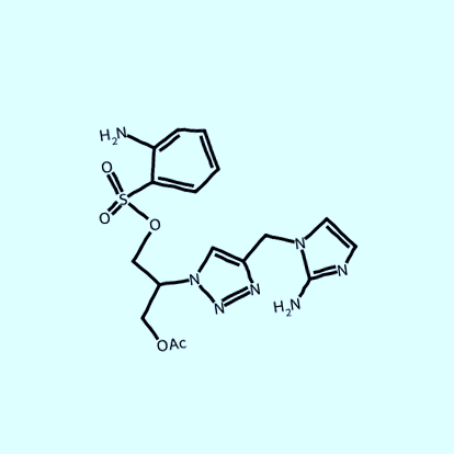 CC(=O)OCC(COS(=O)(=O)c1ccccc1N)n1cc(Cn2ccnc2N)nn1